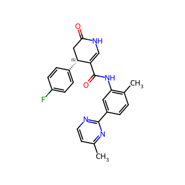 Cc1ccnc(-c2ccc(C)c(NC(=O)C3=CNC(=O)C[C@H]3c3ccc(F)cc3)c2)n1